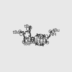 COCC(C)(C)COCC(C)(C)C(=O)N[C@H](CCCCNC(=O)OC(C)(C)C)C(=O)NCC(C)(C)COCC(C)(C)CNC(=O)CCC(C(=O)OC(C)(C)C)N1CCN(CC(=O)OC(C)(C)C)CCN(CC(=O)OC(C)(C)C)CCN(CC(=O)OC(C)(C)C)CC1